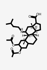 CC(=O)OC1CC2CC[C@@H]3[C@@H](C(NCCC(C)C)C[C@]4(C)C(C(=O)O)CC[C@@H]34)[C@@]2(C)CC1OC(C)=O